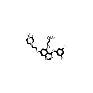 COCCOc1cc(OCCN2CCN(C)CC2)cc2ncnc(Sc3cc(Cl)cc(Cl)c3)c12